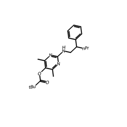 CCCC(CNc1nc(C)c(OC(=O)C(C)(C)C)c(C)n1)c1ccccc1